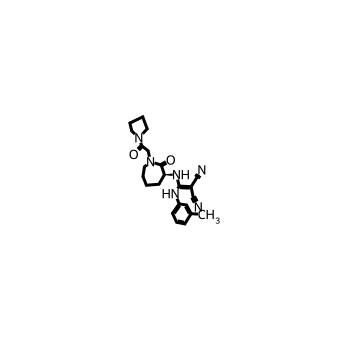 Cc1cccc(NC(N[C@H]2CCCCN(CC(=O)N3CCCC3)C2=O)=C(C#N)C#N)c1